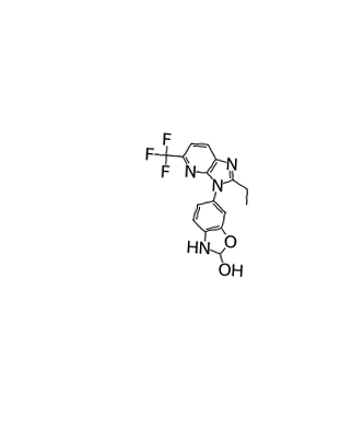 CCc1nc2ccc(C(F)(F)F)nc2n1-c1ccc2c(c1)OC(O)N2